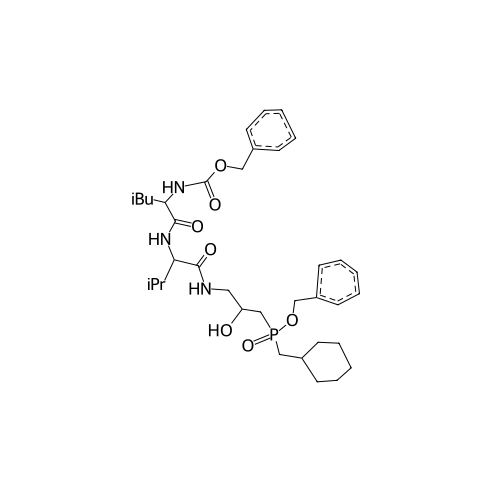 CCC(C)C(NC(=O)OCc1ccccc1)C(=O)NC(C(=O)NCC(O)CP(=O)(CC1CCCCC1)OCc1ccccc1)C(C)C